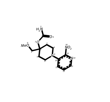 COCC1(OC(N)=O)CCN(c2cccnc2[N+](=O)[O-])CC1